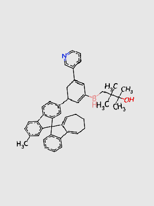 Cc1ccc2c(c1)C1(C3=CCCCC=C3c3ccccc31)c1cc(C3C=C(BCC(C)(C)C(C)(C)O)C=C(c4cccnc4)C3)ccc1-2